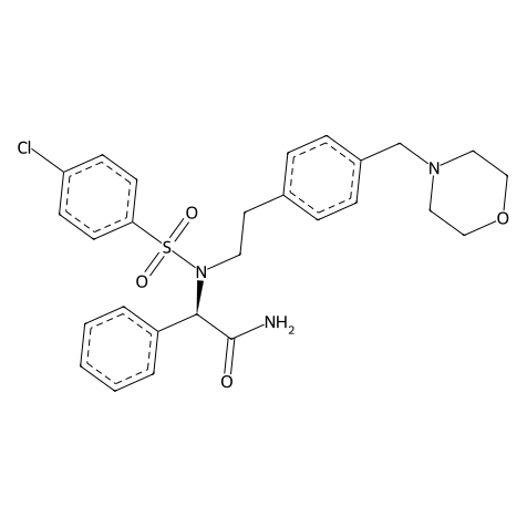 NC(=O)[C@@H](c1ccccc1)N(CCc1ccc(CN2CCOCC2)cc1)S(=O)(=O)c1ccc(Cl)cc1